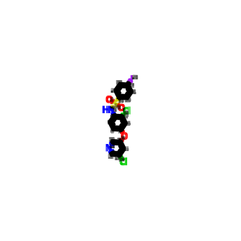 O=S(=O)(Nc1ccc(Oc2cncc(Cl)c2)cc1Cl)c1ccc(I)cc1